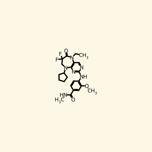 CCN1C(=O)C(F)(F)CN(C2CCCC2)c2nc(Nc3ccc(C(=O)NC)cc3OC)ncc21